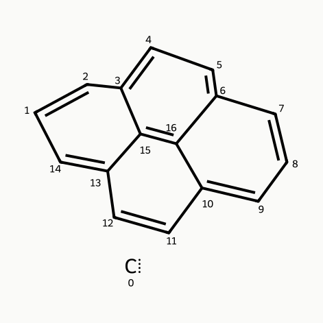 [C].c1cc2ccc3cccc4ccc(c1)c2c34